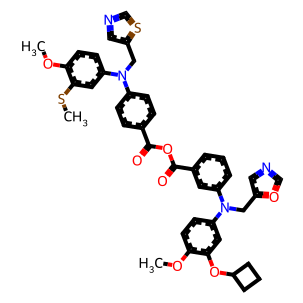 COc1ccc(N(Cc2cnco2)c2cccc(C(=O)OC(=O)c3ccc(N(Cc4cncs4)c4ccc(OC)c(SC)c4)cc3)c2)cc1OC1CCC1